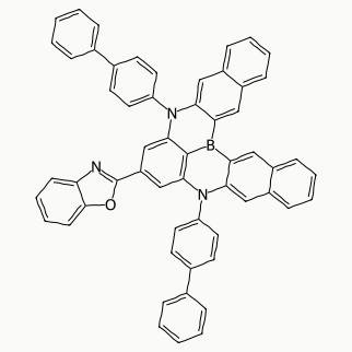 c1ccc(-c2ccc(N3c4cc5ccccc5cc4B4c5cc6ccccc6cc5N(c5ccc(-c6ccccc6)cc5)c5cc(-c6nc7ccccc7o6)cc3c54)cc2)cc1